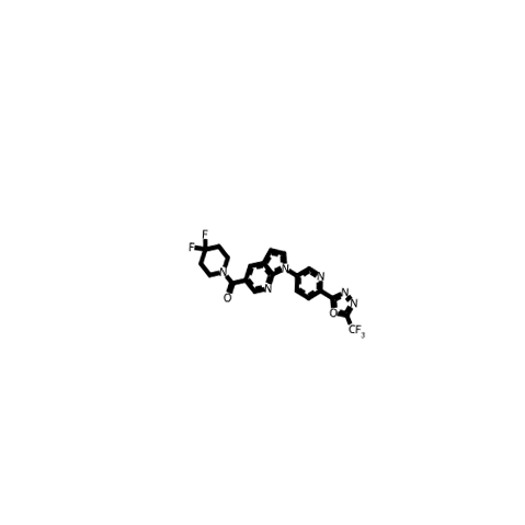 O=C(c1cnc2c(ccn2-c2ccc(-c3nnc(C(F)(F)F)o3)nc2)c1)N1CCC(F)(F)CC1